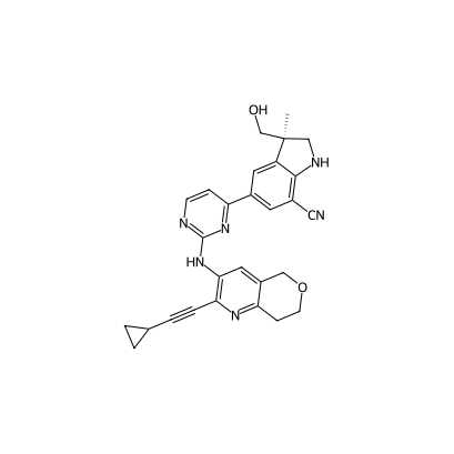 C[C@]1(CO)CNc2c(C#N)cc(-c3ccnc(Nc4cc5c(nc4C#CC4CC4)CCOC5)n3)cc21